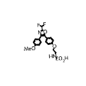 COc1ccc(-c2nc(C(F)F)oc2-c2ccc(OCCNC(=O)O)cc2)cc1